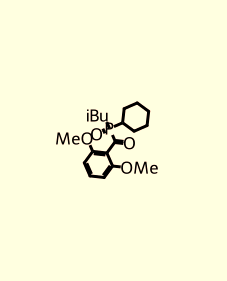 CCC(C)P(=O)(C(=O)c1c(OC)cccc1OC)C1CCCCC1